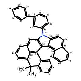 CC1(C)c2ccccc2-c2c3c1cccc3cc1c2c2c3ccccc3ccc2n1-c1cccc(-c2ccccc2)c1